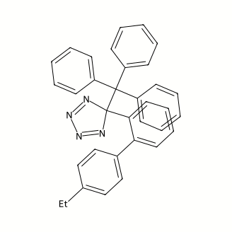 [CH2]Cc1ccc(-c2ccccc2C2(C(c3ccccc3)(c3ccccc3)c3ccccc3)N=NN=N2)cc1